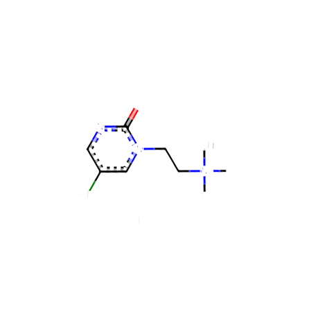 C[N+](C)(C)CCn1cc(Cl)cnc1=O.[I-]